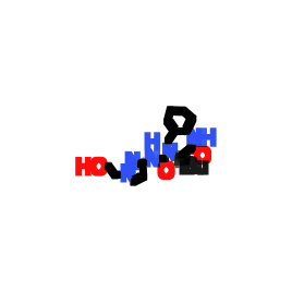 CC[C@H](C)[C@H]1C(=O)Nc2ccccc2CN1C(=O)Nc1ccn(CCO)n1